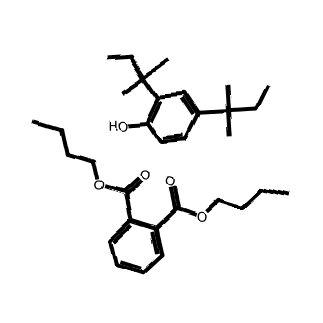 CCC(C)(C)c1ccc(O)c(C(C)(C)CC)c1.CCCCOC(=O)c1ccccc1C(=O)OCCCC